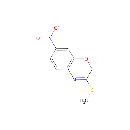 CSC1=Nc2ccc([N+](=O)[O-])cc2OC1